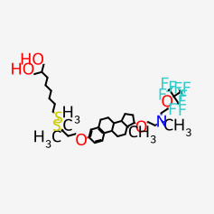 CN(CCO[C@@H]1CCC2C3CCc4cc(OCCC(C)(C)SSCCCCCCC(CO)CO)ccc4C3CC[C@]21C)CCOC(C(F)(F)F)(C(F)(F)F)C(F)(F)F